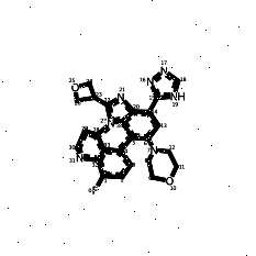 Fc1ccc2c3c(N4CCOCC4)cc(-c4nnc[nH]4)c4nc(C5COC5)n(c5ccnc1c25)c43